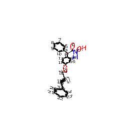 O=C(NO)C(c1ccccc1)c1ccc(OCC=Cc2ccccc2)cc1